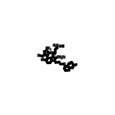 CCOC(=O)c1c(CCCOc2cccc3cc(F)ccc23)c2ccc(Cl)c(-c3c(CBr)nn(C)c3C)c2n1CCCCN.Cl